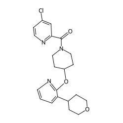 O=C(c1cc(Cl)ccn1)N1CCC(Oc2ncccc2C2CCOCC2)CC1